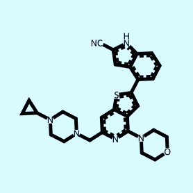 N#Cc1cc2c(-c3cc4c(N5CCOCC5)nc(CN5CCN(C6CC6)CC5)cc4s3)cccc2[nH]1